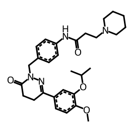 COc1ccc(C2=NN(Cc3ccc(NC(=O)CCN4CCCCC4)cc3)C(=O)CC2)cc1OC(C)C